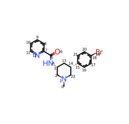 CN1C[C@H](NC(=O)c2ccccn2)C[C@H](c2ccc(Br)cc2)C1